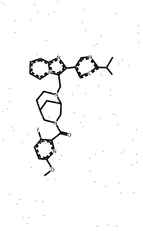 COc1ccc(F)c(C(=O)N2CC3CCN(Cc4c(-c5ccc(C(C)C)nc5)nc5ccccn45)C(C3)C2)n1